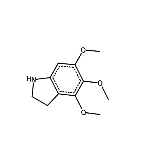 COc1cc2c(c(OC)c1OC)CCN2